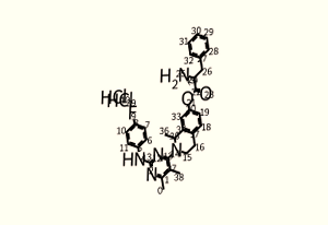 Cc1nc(Nc2ccc(F)cc2)nc(N2CCc3ccc(OC(=O)[C@@H](N)Cc4ccccc4)cc3C2C)c1C.Cl.Cl